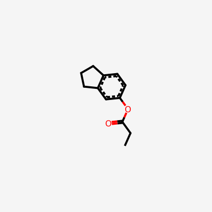 CCC(=O)Oc1ccc2c(c1)CCC2